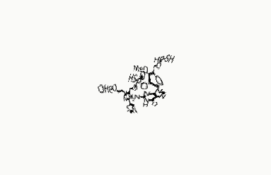 CO[C@H]1[C@@H](OP(=O)(S)OCc2nc(-c3cncs3)nn2CCOC=O)[C@H](n2cnc3c(=O)[nH]c(N)nc32)O[C@@H]1COPS